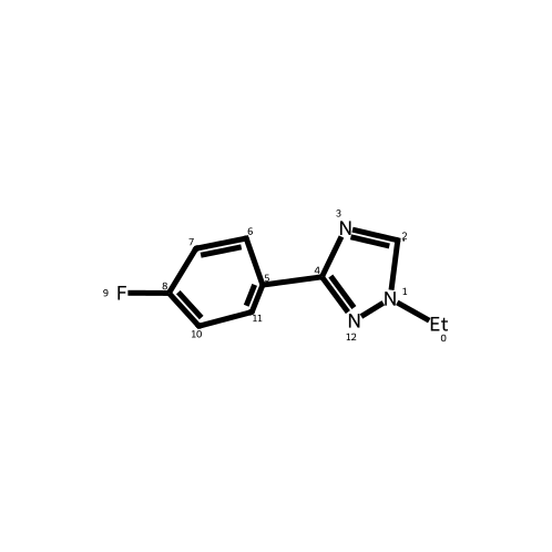 CCn1[c]nc(-c2ccc(F)cc2)n1